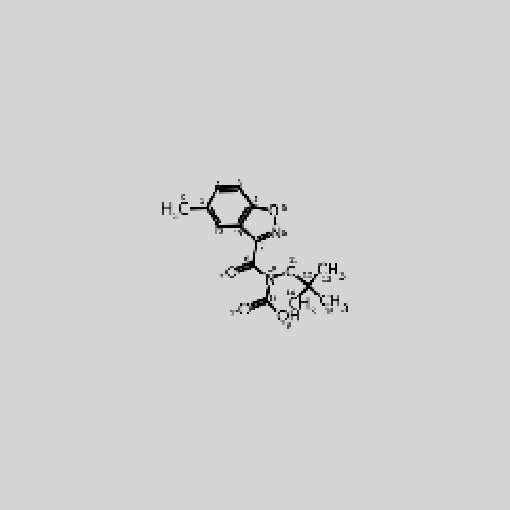 Cc1ccc2onc(C(=O)N(OC(C)(C)C)C(=O)O)c2c1